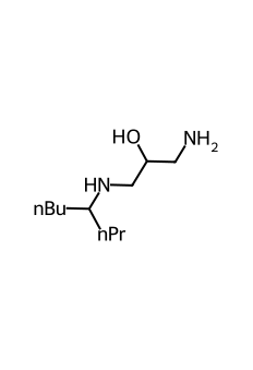 CCCCC(CCC)NCC(O)CN